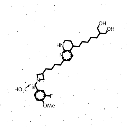 COc1ccc([C@H](CC(=O)O)N2CC(CCCCc3ccc4c(n3)NCCC4CCCCCC(CO)CO)C2)cc1F